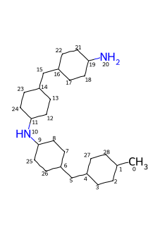 CC1CCC(CC2CCC(NC3CCC(CC4CCC(N)CC4)CC3)CC2)CC1